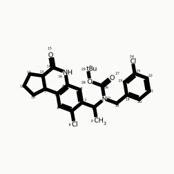 CC(c1cc2c(cc1Cl)C1CCCC1C(=O)N2)N(Cc1cccc(Cl)c1)C(=O)OC(C)(C)C